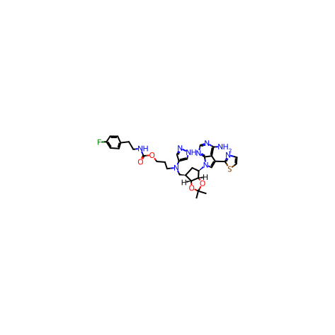 CC1(C)O[C@@H]2[C@@H](CN(CCCOC(=O)NCCc3ccc(F)cc3)c3cn[nH]c3)C[C@@H](n3cc(-c4nccs4)c4c(N)ncnc43)[C@@H]2O1